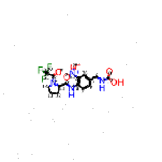 O=C(O)NCc1ccc(NCC2CCCN2C(=O)C(F)(F)F)c([N+](=O)[O-])c1